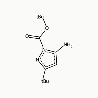 CC(C)(C)OC(=O)n1nc(C(C)(C)C)cc1N